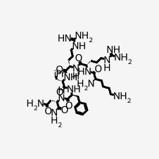 CC(C)C[C@H](NC(=O)[C@H](CCCNC(=N)N)NC(=O)[C@H](CCCNC(=N)N)NC(=O)[C@@H](N)CCCCN)C(=O)N[C@@H](Cc1ccccc1)C(=O)N[C@@H](CC(N)=O)C(N)=O